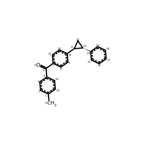 Cc1ccc(C(=O)c2ccc(C3C[C@@H]3c3ccccc3)cc2)cc1